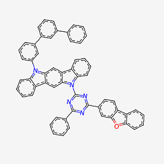 c1ccc(-c2cccc(-c3cccc(-n4c5ccccc5c5cc6c(cc54)c4ccccc4n6-c4nc(-c5ccccc5)nc(-c5ccc6c(c5)oc5ccccc56)n4)c3)c2)cc1